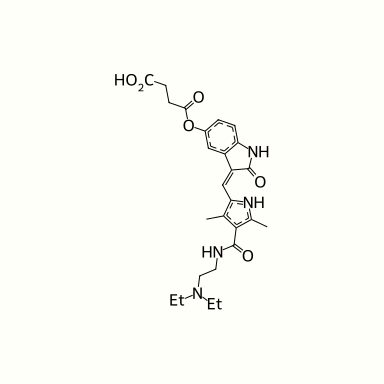 CCN(CC)CCNC(=O)c1c(C)[nH]c(/C=C2\C(=O)Nc3ccc(OC(=O)CCC(=O)O)cc32)c1C